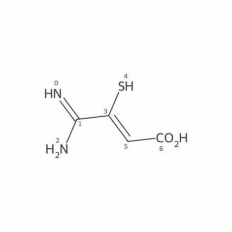 N=C(N)C(S)=CC(=O)O